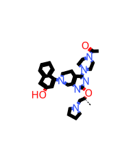 CC(=O)N1CCN(c2nc(O[C@H](C)CN3CCCC3)nc3c2CCN(c2cc(O)cc4ccccc24)C3)CC1